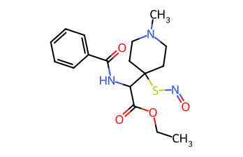 CCOC(=O)C(NC(=O)c1ccccc1)C1(SN=O)CCN(C)CC1